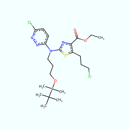 CCOC(=O)c1nc(N(CCCO[Si](C)(C)C(C)(C)C)c2ccc(Cl)nn2)sc1CCCCl